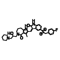 Cc1c(/C=C2\C(=O)Nc3ccc(S(=O)(=O)Cc4ccc(F)cc4)cc32)[nH]c2c1C(=O)N(C[C@H](O)CN1CCCCC1)CCC2